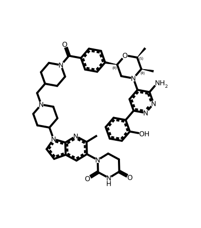 Cc1nc2c(ccn2C2CCN(CC3CCN(C(=O)c4ccc([C@@H]5CN(c6cc(-c7ccccc7O)nnc6N)[C@H](C)[C@H](C)O5)cc4)CC3)CC2)cc1N1CCC(=O)NC1=O